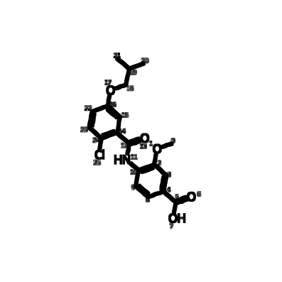 COc1cc(C(=O)O)ccc1NC(=O)c1cc(OCC(C)C)ccc1Cl